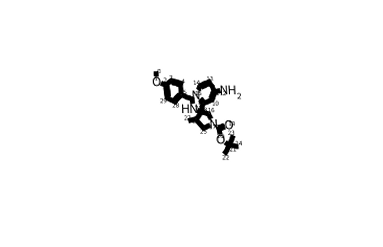 COc1ccc(CNC2(c3cc(N)ccn3)CN(C(=O)OC(C)(C)C)CC2C)cc1